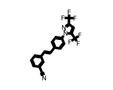 N#Cc1cccc(C=Cc2ccc(-n3nc(C(F)(F)F)cc3C(F)(F)F)cc2)c1